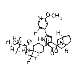 COc1cc(-c2cc(C(=O)N3[C@@H]4CC[C@H]3C[C@H](C(=O)NC3CCC(N[S+]([O-])C(C)(C)C)(C(F)(F)F)CC3)C4)n[nH]2)c(F)cn1